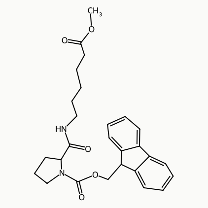 COC(=O)CCCCCNC(=O)C1CCCN1C(=O)OCC1c2ccccc2-c2ccccc21